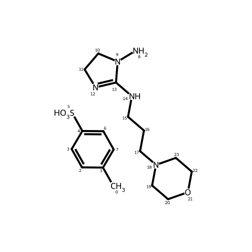 Cc1ccc(S(=O)(=O)O)cc1.NN1CCN=C1NCCCN1CCOCC1